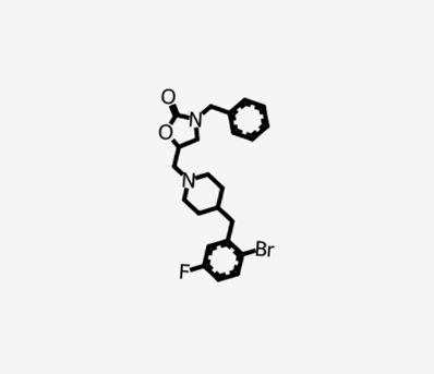 O=C1OC(CN2CCC(Cc3cc(F)ccc3Br)CC2)CN1Cc1ccccc1